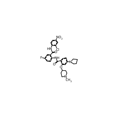 CN1CCC(Oc2cc(N3CCCC3)ccc2C(=O)Nc2ccc(F)cc2C(=O)Nc2ccc([N+](=O)[O-])cc2Cl)CC1